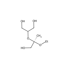 CCO[C@@](C)(CO)OC(CO)CO